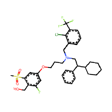 CS(=O)(=O)c1cc(OCCCN(Cc2cccc(C(F)(F)F)c2Cl)CC(c2ccccc2)C2CCCCC2)cc(F)c1CO